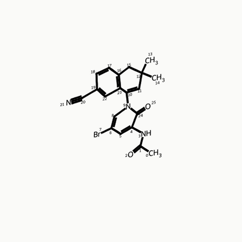 CC(=O)Nc1cc(Br)cn(C2=CC(C)(C)Cc3ccc(C#N)cc32)c1=O